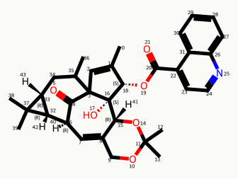 CC1=CC23C(=O)[C@@H](C=C4COC(C)(C)O[C@H]4[C@]2(O)[C@H]1OC(=O)c1ccnc2ccccc12)[C@H]1[C@@H](CC3C)C1(C)C